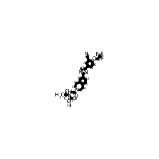 CC(C)(C)N(CC(=O)N1CCc2ccc(-c3noc(-c4ccc(OCC(F)(F)F)c(C#N)c4)n3)cc2CC1)C(=O)O